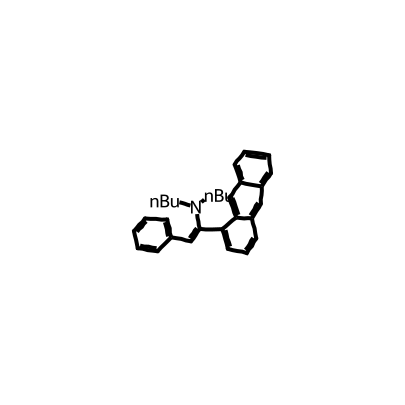 CCCCN(CCCC)C(=Cc1ccccc1)c1cccc2cc3ccccc3cc12